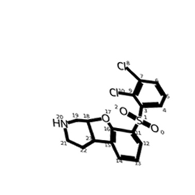 O=S(=O)(c1cccc(Cl)c1Cl)c1cccc2c1OC1CNCCC21